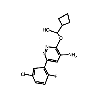 Nc1cc(-c2cc(Cl)ccc2F)nnc1OC(O)C1CCC1